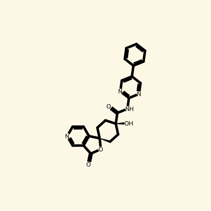 O=C1O[C@]2(CC[C@@](O)(C(=O)Nc3ncc(-c4ccccc4)cn3)CC2)c2ccncc21